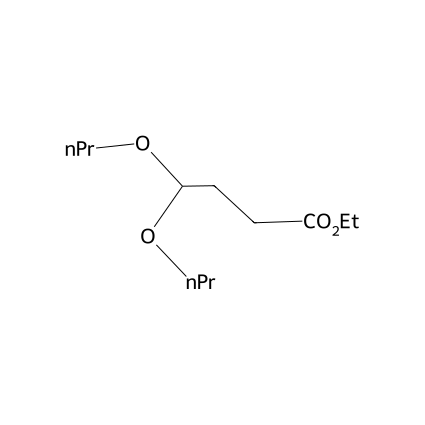 CCCOC(CCC(=O)OCC)OCCC